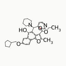 CCOC(=O)c1c(C)oc2c1c(C(c1ccncc1)N1CCCCC1)c(O)c1cc(OCC3CCCC3)ccc12